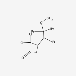 CC(C)C(C1CC(=O)C1(Cl)Cl)C(O[SiH3])(C(C)C)C(C)C